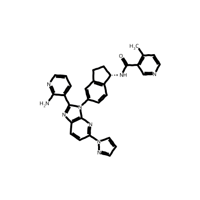 Cc1ccncc1C(=O)N[C@H]1CCc2cc(-n3c(-c4cccnc4N)nc4ccc(-n5cccn5)nc43)ccc21